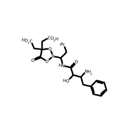 CC(C)CC(NC(=O)C(O)C(N)Cc1ccccc1)B1OC(=O)C(CC(=O)O)(CC(=O)O)O1